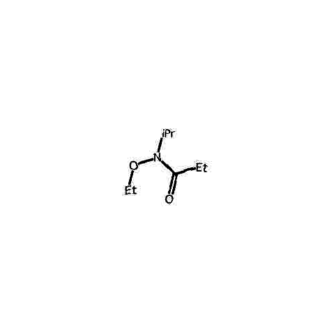 CCON(C(=O)CC)C(C)C